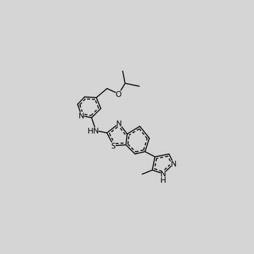 Cc1[nH]ncc1-c1ccc2nc(Nc3cc(COC(C)C)ccn3)sc2c1